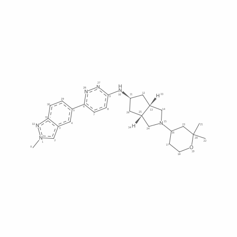 Cn1cc2cc(-c3ccc(N[C@H]4C[C@@H]5CN(C6CCOC(C)(C)C6)C[C@@H]5C4)nn3)ccc2n1